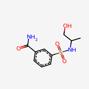 CC(CO)NS(=O)(=O)c1cccc(C(N)=O)c1